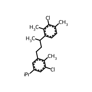 Cc1ccc(C(C)CCc2cc(C(C)C)cc(Cl)c2C)c(C)c1Cl